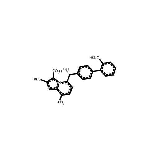 CCCCc1nc2c(C)ccc([C@H](O)c3ccc(-c4ccccc4C(=O)O)cc3)n2c1C(=O)O